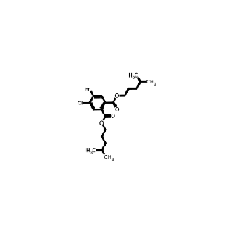 CC(C)CCCOC(=O)c1cc(Cl)c(Br)cc1C(=O)OCCCC(C)C